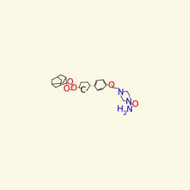 COC1(OO[C@H]2CC[C@@H](c3ccc(OCCN4CCN(C(N)=O)CC4)cc3)CC2)C2CC3CC(C2)CC1C3